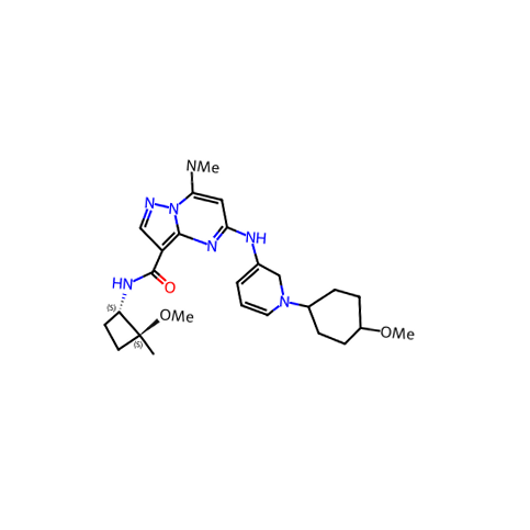 CNc1cc(NC2=CC=CN(C3CCC(OC)CC3)C2)nc2c(C(=O)N[C@H]3CC[C@]3(C)OC)cnn12